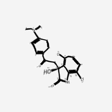 CN(C)c1ccc(C(=O)C[C@@]2(O)C(=O)Nc3c(Cl)ccc(Cl)c32)cc1